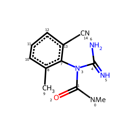 CNC(=O)N(C(=N)N)c1c(C)cccc1C#N